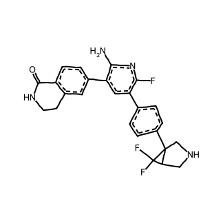 Nc1nc(F)c(-c2ccc(C34CNCC3C4(F)F)cc2)cc1-c1ccc2c(c1)CCNC2=O